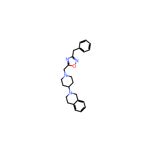 c1ccc(Cc2noc(CN3CCC(N4CCc5ccccc5C4)CC3)n2)cc1